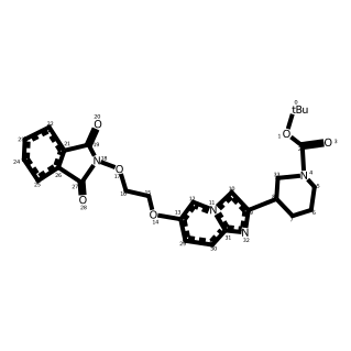 CC(C)(C)OC(=O)N1CCCC(c2cn3cc(OCCON4C(=O)c5ccccc5C4=O)ccc3n2)C1